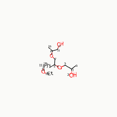 CC(O)COC(C)COC(C)CO.CCOC(C)C